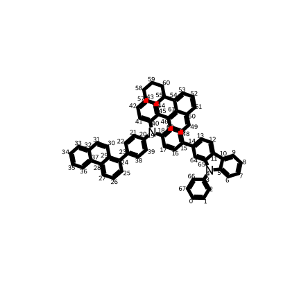 c1ccc(-n2c3ccccc3c3ccc(-c4ccc(N(c5ccc(-c6cccc7c6ccc6ccccc67)cc5)c5ccccc5-c5cccc6cccc(C7CCCCC7)c56)cc4)cc32)cc1